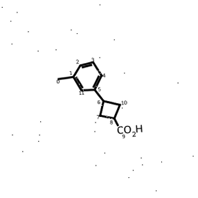 Cc1cccc(C2CC(C(=O)O)C2)c1